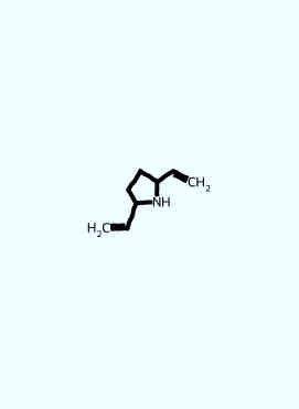 C=CC1CCC(C=C)N1